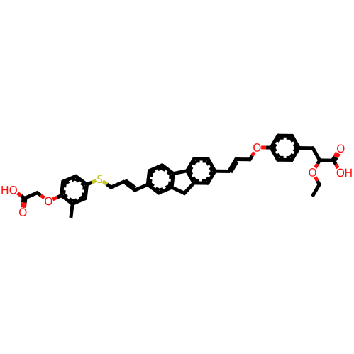 CCOC(Cc1ccc(OC/C=C/c2ccc3c(c2)Cc2cc(/C=C/CSc4ccc(OCC(=O)O)c(C)c4)ccc2-3)cc1)C(=O)O